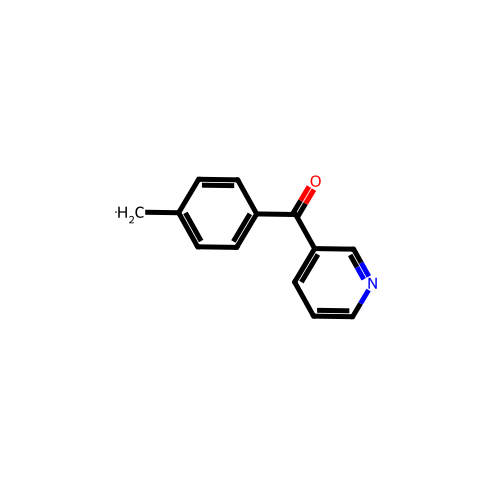 [CH2]c1ccc(C(=O)c2cccnc2)cc1